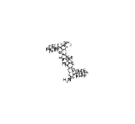 Nc1ccc(Oc2ccc(C(c3ccc(Oc4ccc(N)cc4C(F)(F)C(F)(F)C(F)(F)C(F)(F)F)cc3)(C(F)(F)F)C(F)(F)F)cc2)c(C(F)(F)C(F)(F)C(F)(F)C(F)(F)F)c1